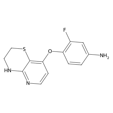 Nc1ccc(Oc2ccnc3c2SCCN3)c(F)c1